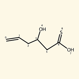 C=CCC(O)CC(O)=S